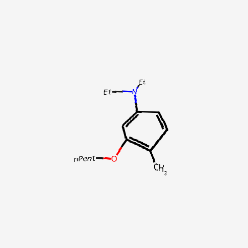 CCCCCOc1cc(N(CC)CC)ccc1C